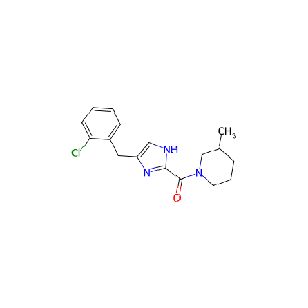 CC1CCCN(C(=O)c2nc(Cc3ccccc3Cl)c[nH]2)C1